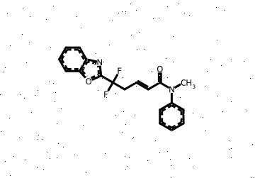 CN(C(=O)C=CCC(F)(F)c1nc2ccccc2o1)c1ccccc1